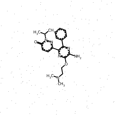 CC(C)n1nc(-c2nc(OCCN(C)C)c(N)nc2-c2ccccc2)ccc1=O